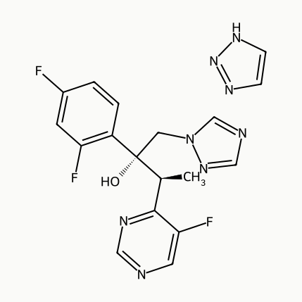 C[C@@H](c1ncncc1F)[C@](O)(Cn1cncn1)c1ccc(F)cc1F.c1c[nH]nn1